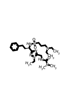 CCN(CC)CCCS(=O)(=O)N[C@H](CCc1ccccc1)c1nc(CNC(=O)N(C)C)n(CC)n1